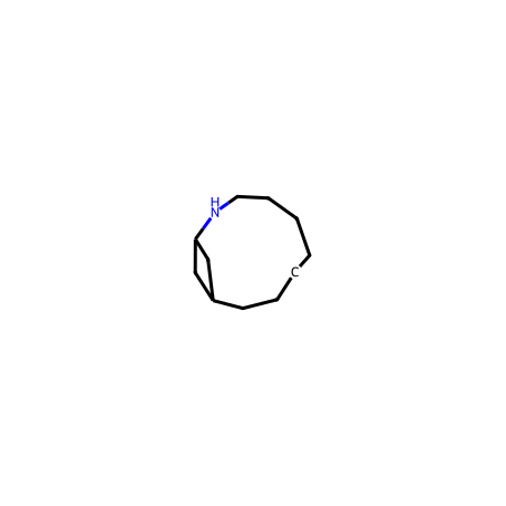 C1CCCNC2CC(CCC1)C2